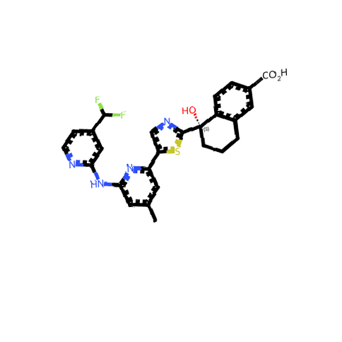 Cc1cc(Nc2cc(C(F)F)ccn2)nc(-c2cnc([C@]3(O)CCCc4cc(C(=O)O)ccc43)s2)c1